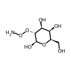 NOO[C@@H]1[C@@H](O)[C@@H](O)[C@@H](CO)O[C@H]1O